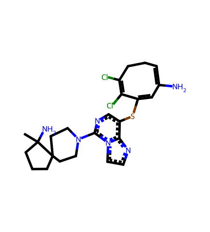 CC1(N)CCCC12CCN(c1ncc(SC3=C/C(N)=C\CC/C(Cl)=C\3Cl)c3nccn13)CC2